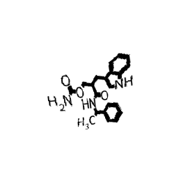 CC(NC(=O)C(COC(N)=O)Cc1c[nH]c2ccccc12)c1ccccc1